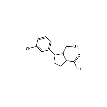 CCN1C(c2cccc(Cl)c2)CC[C@@H]1C(=O)O